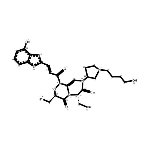 CC(C)C[C@H]1ON(C(=O)/C=C/c2nc3c(O)cccc3s2)C2=CN(C3CCN(CCCCO)C3)C(=O)[C@H](CC(C)(C)C)N2C1=O